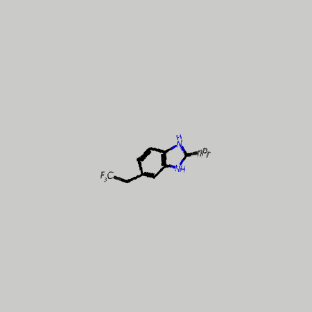 CCCC1Nc2ccc(CC(F)(F)F)cc2N1